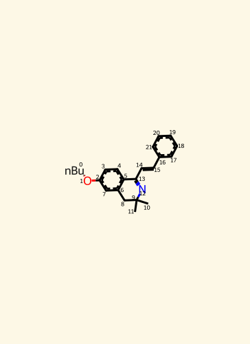 CCCCOc1ccc2c(c1)CC(C)(C)N=C2C=Cc1ccccc1